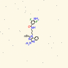 CCCCc1nc2c(N)nc3ccccc3c2n1CCCCNC(=O)c1cc(F)c(N)c(F)c1